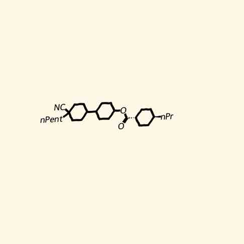 CCCCCC1(C#N)CCC(C2CCC(OC(=O)[C@H]3CC[C@H](CCC)CC3)CC2)CC1